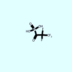 O=C(C(F)(F)C(F)(F)F)P(=O)(O)O